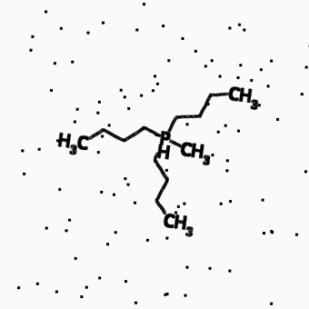 CCCC[PH](C)(CCCC)CCCC